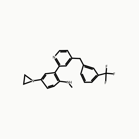 CNc1ccc(N2CC2)cc1-c1cc(Cc2cccc(C(F)(F)F)c2)ccn1